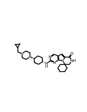 O=C1NCC2(CCCCC2)n2c1cc1cnc(N[C@H]3CC[C@H](N4CCN(CC5CC5)CC4)CC3)nc12